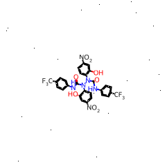 O=C(Nc1ccc(C(F)(F)F)cc1)N(c1ccc([N+](=O)[O-])cc1O)N(C(=O)Nc1ccc(C(F)(F)F)cc1)c1ccc([N+](=O)[O-])cc1O